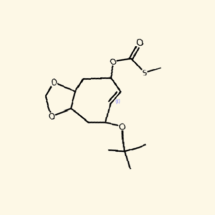 CSC(=O)OC1/C=C/C(OC(C)(C)C)CC2OCOC2C1